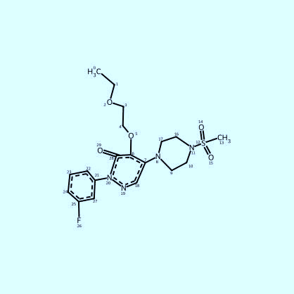 CCOCCOc1c(N2CCN(S(C)(=O)=O)CC2)cnn(-c2cccc(F)c2)c1=O